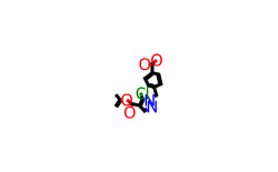 C=C(C)OC(=O)c1cnn(Cc2ccc(C(=O)OC)cc2)c1Cl